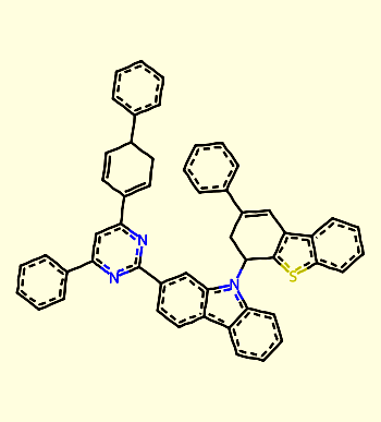 C1=CC(c2ccccc2)CC=C1c1cc(-c2ccccc2)nc(-c2ccc3c4ccccc4n(C4CC(c5ccccc5)=Cc5c4sc4ccccc54)c3c2)n1